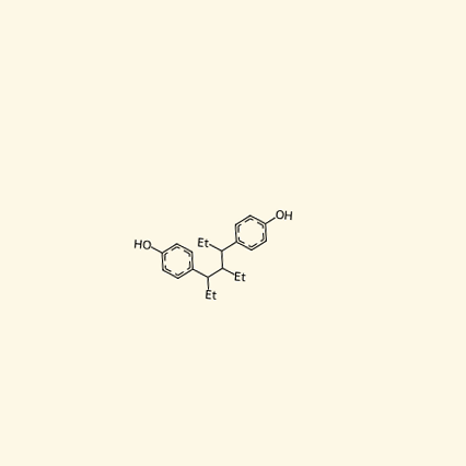 CCC(c1ccc(O)cc1)C(CC)C(CC)c1ccc(O)cc1